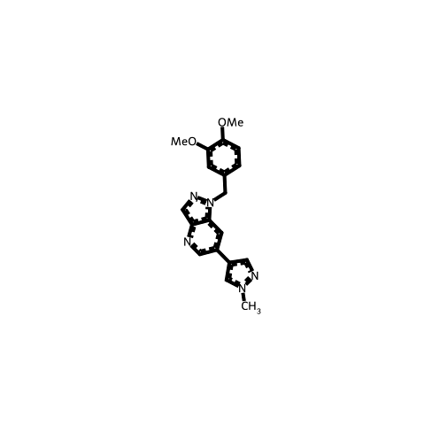 COc1ccc(Cn2ncc3ncc(-c4cnn(C)c4)cc32)cc1OC